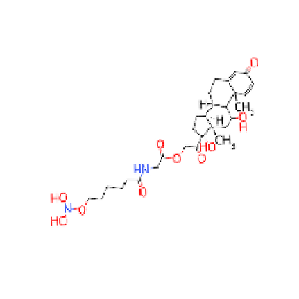 C[C@]12C=CC(=O)C=C1CC[C@@H]1C2[C@@H](O)C[C@@]2(C)[C@H]1CC[C@]2(O)C(=O)COC(=O)CNC(=O)CCCCCON(O)O